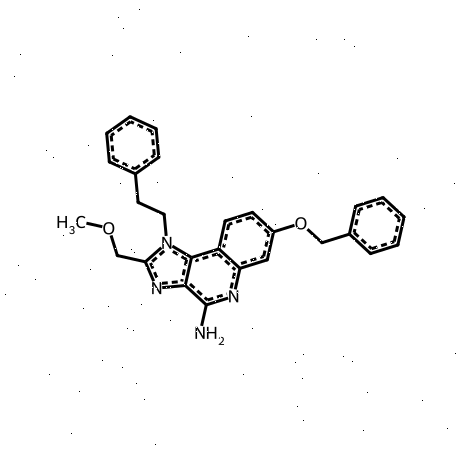 COCc1nc2c(N)nc3cc(OCc4ccccc4)ccc3c2n1CCc1ccccc1